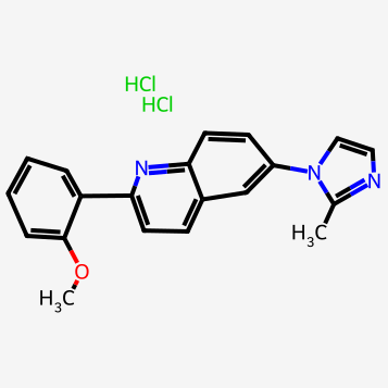 COc1ccccc1-c1ccc2cc(-n3ccnc3C)ccc2n1.Cl.Cl